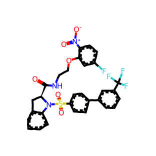 O=C(NCCOc1cc(F)ccc1[N+](=O)[O-])[C@@H]1Cc2ccccc2N1S(=O)(=O)c1ccc(-c2cccc(C(F)(F)F)c2)cc1